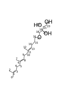 CC(C)=CCC/C(C)=C/CC/C(C)=C/CCCOC[C@H](O)[C@H](O)CO